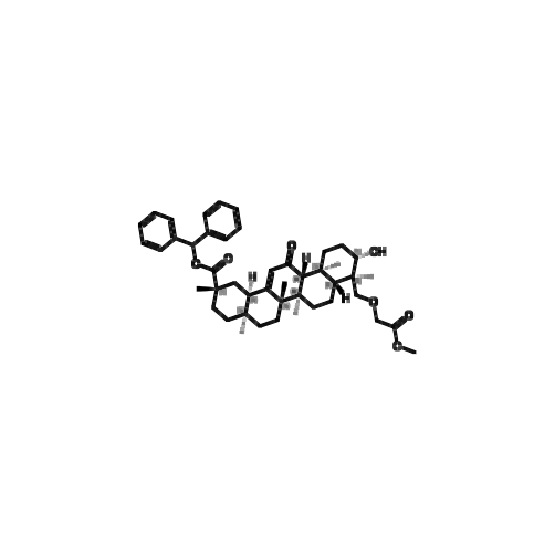 COC(=O)COC[C@@]1(C)[C@@H]2CC[C@]3(C)[C@H](C(=O)C=C4[C@@H]5C[C@@](C)(C(=O)OC(c6ccccc6)c6ccccc6)CC[C@]5(C)CC[C@]43C)[C@@]2(C)CC[C@@H]1O